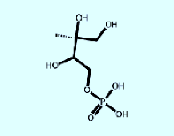 C[C@](O)(CO)C(O)COP(=O)(O)O